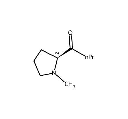 CCCC(=O)[C@@H]1CCCN1C